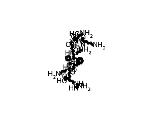 C[C@H](NC(=O)[C@@H](NC(=O)[C@@H](N)CCCCN)[C@@H](O)CN)C(=O)NCC(=O)N[C@H](CCCN)C(=O)N1CCC[C@H]1C(=O)NC(Cc1ccccc1)C(=O)N[C@@H](CCCCN)C(=O)CC/C(=C\CCNC(=N)N)C(=O)O